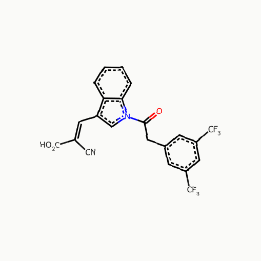 N#C/C(=C\c1cn(C(=O)Cc2cc(C(F)(F)F)cc(C(F)(F)F)c2)c2ccccc12)C(=O)O